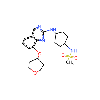 CS(=O)(=O)NC1CCC(Nc2ncc3cccc(OC4CCOCC4)c3n2)CC1